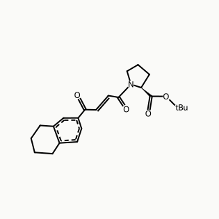 CC(C)(C)OC(=O)[C@@H]1CCCN1C(=O)/C=C/C(=O)c1ccc2c(c1)CCCC2